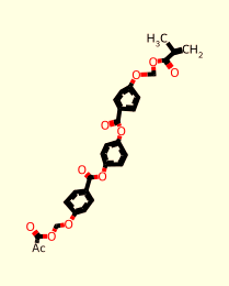 C=C(C)C(=O)OCOc1ccc(C(=O)Oc2ccc(OC(=O)c3ccc(OCOC(=O)C(C)=O)cc3)cc2)cc1